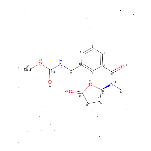 CN(C(=O)c1cccc(CNC(=O)OC(C)(C)C)c1)[C@H]1CCC(=O)O1